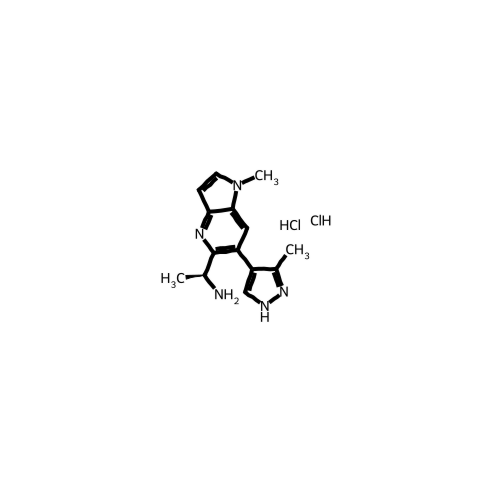 Cc1n[nH]cc1-c1cc2c(ccn2C)nc1[C@H](C)N.Cl.Cl